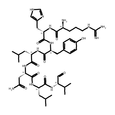 CC(C)C[C@H](NC(=O)[C@H](Cc1ccc(O)cc1)NC(=O)[C@H](Cc1c[nH]cn1)NC(=O)[C@@H](N)CCCNC(=N)N)C(=O)N[C@@H](CC(N)=O)C(=O)N[C@@H](CC(C)C)C(=O)N[C@H](C=O)C(C)C